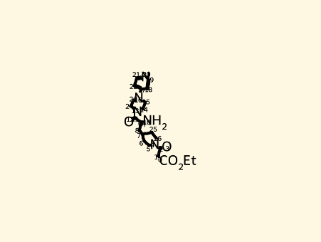 CCOC(=O)CC(=O)N1CCC(C[C@H](N)C(=O)N2CCN(c3ccncc3)CC2)CC1